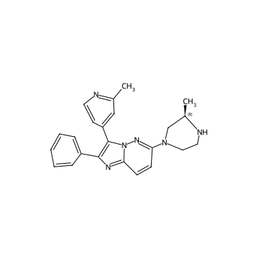 Cc1cc(-c2c(-c3ccccc3)nc3ccc(N4CCN[C@H](C)C4)nn23)ccn1